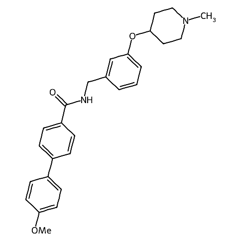 COc1ccc(-c2ccc(C(=O)NCc3cccc(OC4CCN(C)CC4)c3)cc2)cc1